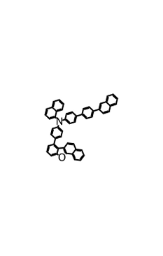 c1ccc2cc(-c3ccc(-c4ccc(N(c5ccc(-c6cccc7oc8c9ccccc9ccc8c67)cc5)c5cccc6ccccc56)cc4)cc3)ccc2c1